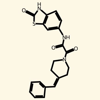 O=C(Nc1ccc2[nH]c(=O)sc2c1)C(=O)N1CCC(=Cc2ccccc2)CC1